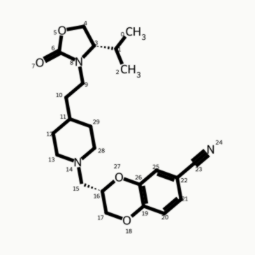 CC(C)[C@H]1COC(=O)N1CCC1CCN(C[C@H]2COc3ccc(C#N)cc3O2)CC1